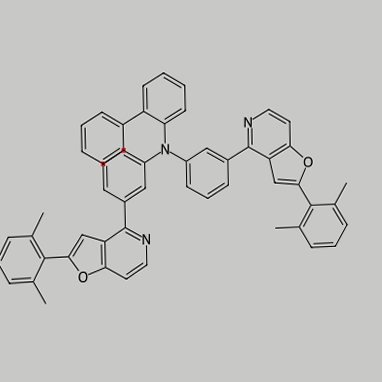 Cc1cccc(C)c1-c1cc2c(-c3cccc(N(c4cccc(-c5nccc6oc(-c7c(C)cccc7C)cc56)c4)c4ccccc4-c4ccccc4)c3)nccc2o1